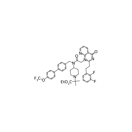 CCOC(=O)C(C)(C)N1CCC(N(Cc2ccc(-c3ccc(OC(F)(F)F)cc3)cc2)C(=O)Cn2c(CCc3cccc(F)c3F)nc(=O)c3cccnc32)CC1